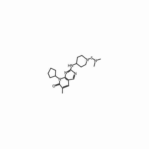 Cc1cc2cnc(NC3CCN(SN(C)C)CC3)nc2n(C2CCCC2)c1=O